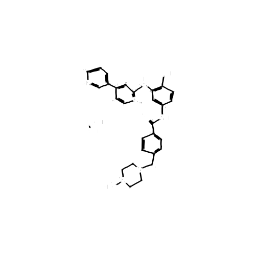 CS(=O)(=O)O.Cc1ccc(NC(=O)c2ccc(CN3CCN(C)CC3)cc2)cc1Nc1cc(-c2cccnc2)ccn1